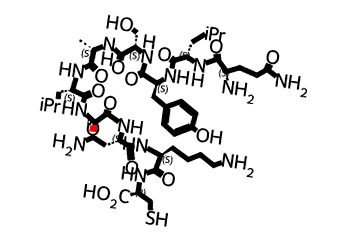 CC(C)C[C@H](NC(=O)[C@H](C)NC(=O)[C@H](CO)NC(=O)[C@H](Cc1ccc(O)cc1)NC(=O)[C@H](CC(C)C)NC(=O)[C@@H](N)CCC(N)=O)C(=O)N[C@@H](C)C(=O)N[C@@H](CC(N)=O)C(=O)N[C@@H](CCCCN)C(=O)N[C@@H](CS)C(=O)O